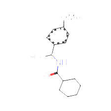 COc1ccc(C(C)NC(=O)C2CCCCC2)cc1